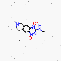 CCNc1n[n+]([O-])c2cc3c(cc2[n+]1[O-])CN(C)CC3